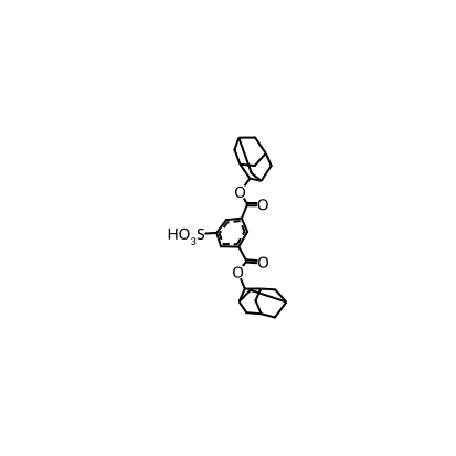 O=C(OC1C2CC3CC(C2)CC1C3)c1cc(C(=O)OC2C3CC4CC(C3)CC2C4)cc(S(=O)(=O)O)c1